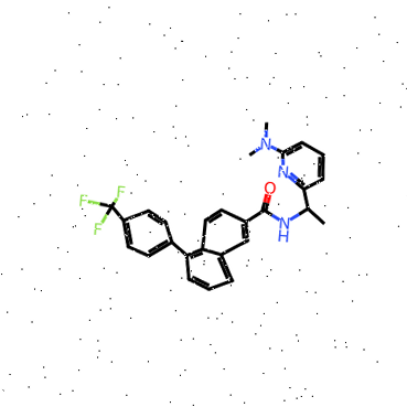 CC(NC(=O)c1ccc2c(-c3ccc(C(F)(F)F)cc3)cccc2c1)c1cccc(N(C)C)n1